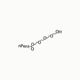 CCCCCC(=O)OCCOCCOCCOCCO